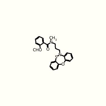 CN(CCCn1sc2ccccc2oc2ccccc21)C(=O)c1ccccc1C=O